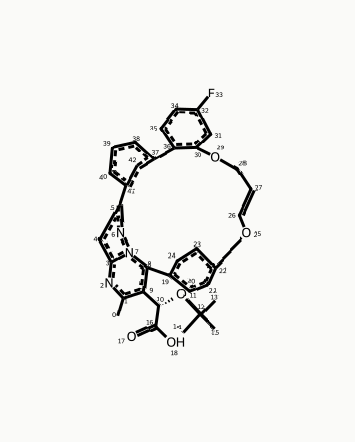 Cc1nc2cc3nn2c(c1[C@H](OC(C)(C)C)C(=O)O)-c1ccc(cc1)O/C=C/COc1cc(F)ccc1-c1cccc-3c1